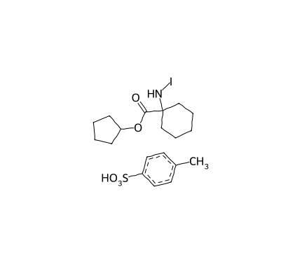 Cc1ccc(S(=O)(=O)O)cc1.O=C(OC1CCCC1)C1(NI)CCCCC1